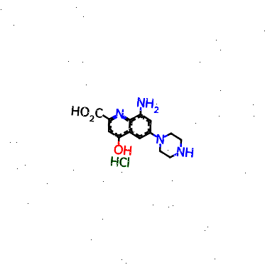 Cl.Nc1cc(N2CCNCC2)cc2c(O)cc(C(=O)O)nc12